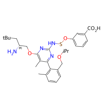 Cc1cccc(COC(C)C)c1-c1nc(NSOc2cccc(C(=O)O)c2)nc(OC[C@H](N)CC(C)(C)C)c1C